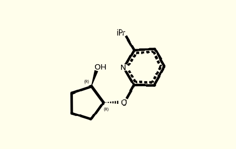 CC(C)c1cccc(O[C@@H]2CCC[C@H]2O)n1